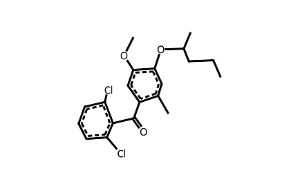 CCCC(C)Oc1cc(C)c(C(=O)c2c(Cl)cccc2Cl)cc1OC